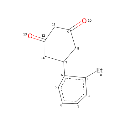 CCc1ccccc1C1CC(=O)CC(=O)C1